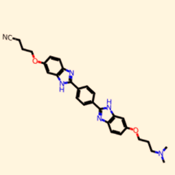 CN(C)CCCOc1ccc2nc(-c3ccc(-c4nc5ccc(OCCCC#N)cc5[nH]4)cc3)[nH]c2c1